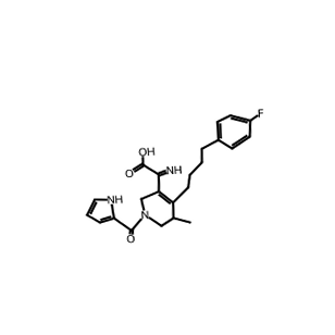 CC1CN(C(=O)c2ccc[nH]2)CC(C(=N)C(=O)O)=C1CCCCc1ccc(F)cc1